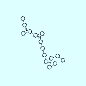 c1ccc(-c2ccc(-n3c4ccccc4c4cc(-c5ccc6c(c5)c5ccccc5n6-c5ccc(-c6ccc(-c7ccc(-c8cccc(C9(c%10cccc(-c%11cccc(-c%12ccccc%12)c%11)c%10)c%10ccccc%10-c%10ccccc%109)c8)cc7)cc6)cc5)ccc43)cc2)cc1